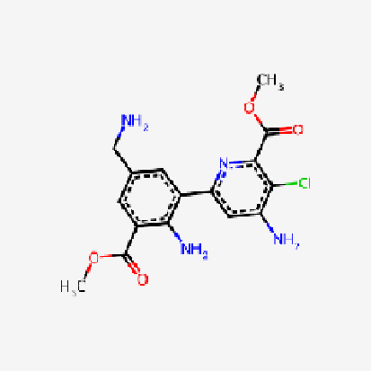 COC(=O)c1cc(CN)cc(-c2cc(N)c(Cl)c(C(=O)OC)n2)c1N